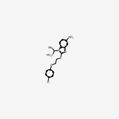 CC(C)(C)C(C(=O)O)n1c(SCCOc2ccc(Cl)cc2)nc2cc([N+](=O)[O-])ccc21